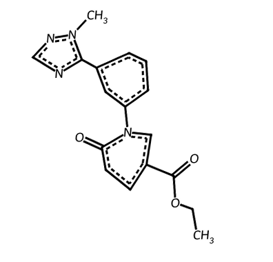 CCOC(=O)c1ccc(=O)n(-c2cccc(-c3ncnn3C)c2)c1